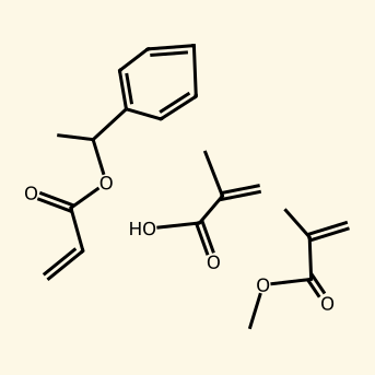 C=C(C)C(=O)O.C=C(C)C(=O)OC.C=CC(=O)OC(C)c1ccccc1